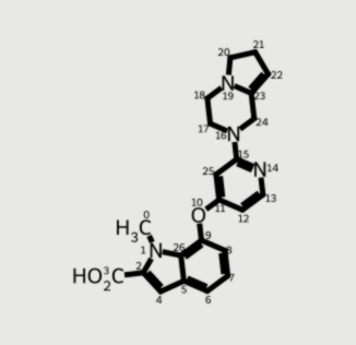 Cn1c(C(=O)O)cc2cccc(Oc3ccnc(N4CCN5CCC=C5C4)c3)c21